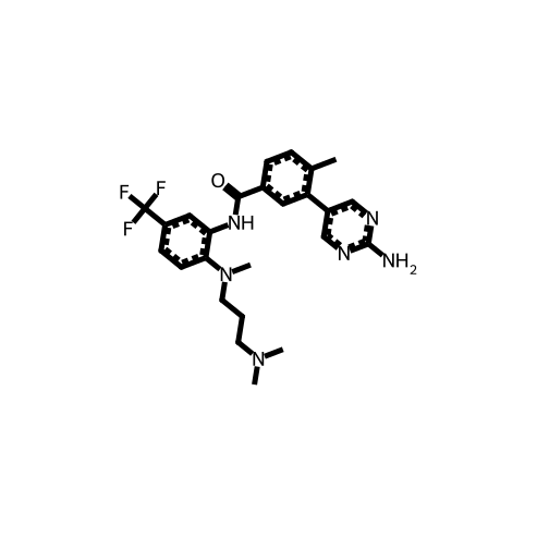 Cc1ccc(C(=O)Nc2cc(C(F)(F)F)ccc2N(C)CCCN(C)C)cc1-c1cnc(N)nc1